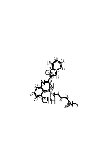 CN(C)CCCNc1nc(-c2cc3ccccc3o2)nc2cccc(Cl)c12